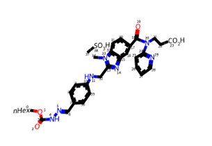 CCCCCCOC(=O)NN=Cc1ccc(NCc2nc3cc(C(=O)N(CCC(=O)O)c4ccccn4)ccc3n2C)cc1.CS(=O)(=O)O